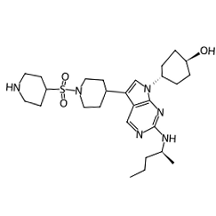 CCC[C@H](C)Nc1ncc2c(C3CCN(S(=O)(=O)C4CCNCC4)CC3)cn([C@H]3CC[C@H](O)CC3)c2n1